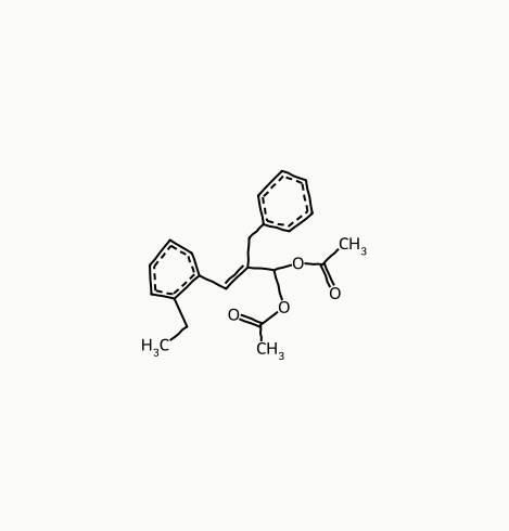 CCc1ccccc1/C=C(\Cc1ccccc1)C(OC(C)=O)OC(C)=O